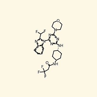 O=C(CC(F)(F)F)N[C@H]1CC[C@H](Nc2nc(N3CCOCC3)nc(-n3c(C(F)F)nc4ccccc43)n2)CC1